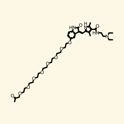 CCN(CC)CCNC(=O)c1c(C)[nH]c(/C=C2\C(=O)Nc3ccc(OCCOCCOCCOCCOCCOCCOCCOCC(C)=O)cc32)c1C